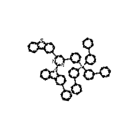 c1ccc(-c2cccc([Si](c3cccc(-c4ccccc4)c3)(c3cccc(-c4ccccc4)c3)c3cccc(-c4cc(-c5ccc6sc7ccccc7c6c5)nc(-n5c6ccccc6c6cc(-c7ccccc7)ccc65)n4)c3)c2)cc1